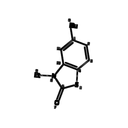 CCC(C)c1ccc2sc(=O)n(CC)c2c1